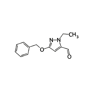 CCn1nc(OCc2ccccc2)cc1C=O